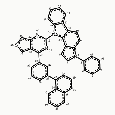 c1ccc(-n2ccc3c2ccc2c4ccccc4n(-c4nc(-c5cccc(-c6cccc7ccccc67)c5)c5cscc5n4)c23)cc1